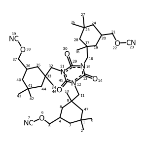 CC1(C)CC(COC#N)CC(C)(Cn2c(=O)n(CC3(C)CC(COC#N)CC(C)(C)C3)c(=O)n(CC3(C)CC(COC#N)CC(C)(C)C3)c2=O)C1